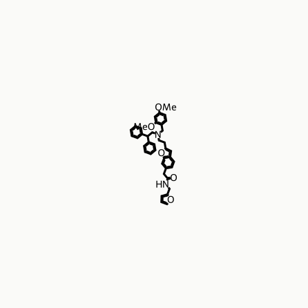 COc1ccc(CN(CCc2cc3ccc(CC(=O)NCc4ccco4)cc3o2)CC(c2ccccc2)c2ccccc2)c(OC)c1